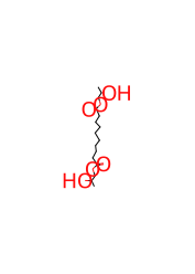 CC(O)COC(=O)CCCCCCCCC(=O)OCC(C)O